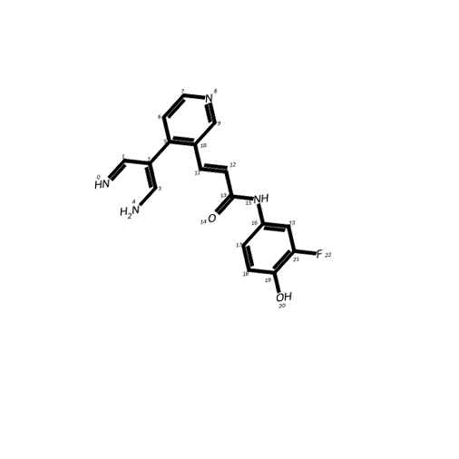 N=C/C(=C\N)c1ccncc1/C=C/C(=O)Nc1ccc(O)c(F)c1